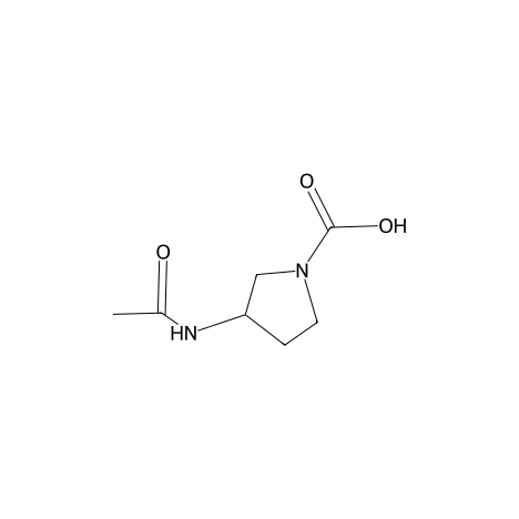 CC(=O)NC1CCN(C(=O)O)C1